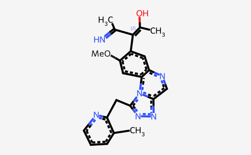 COc1cc2c(cc1/C(C(C)=N)=C(\C)O)ncc1nnc(Cc3ncccc3C)n12